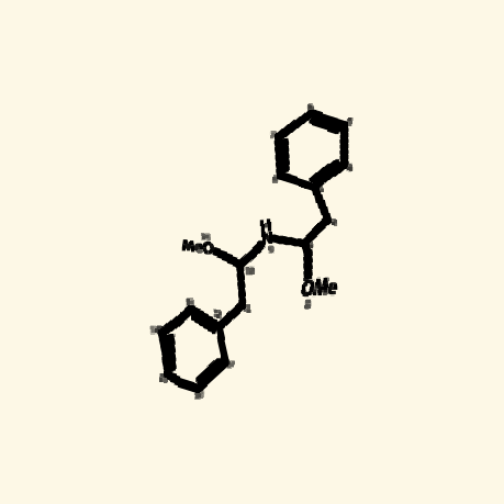 COC(Cc1ccccc1)NC(Cc1ccccc1)OC